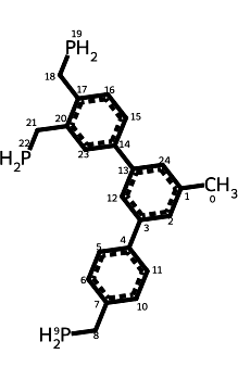 Cc1cc(-c2ccc(CP)cc2)cc(-c2ccc(CP)c(CP)c2)c1